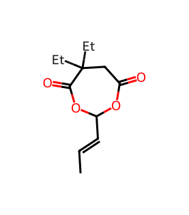 CC=CC1OC(=O)CC(CC)(CC)C(=O)O1